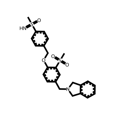 CS(=N)(=O)c1ccc(COc2ccc(CN3Cc4ccccc4C3)cc2S(C)(=O)=O)cc1